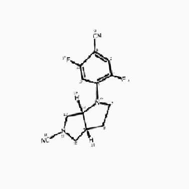 N#Cc1cc(F)c(N2CC[C@@H]3CN(C#N)C[C@@H]32)cc1F